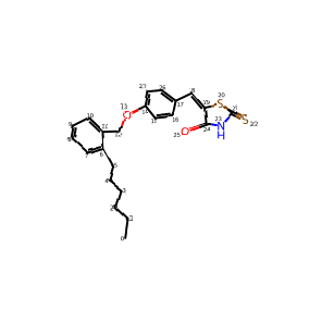 CCCCCCc1ccccc1COc1ccc(C=C2SC(=S)NC2=O)cc1